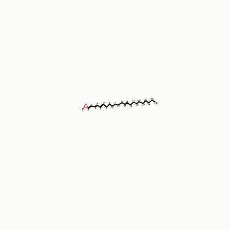 [CH2]OC=CC=CC=CCCCCCCCCCCCCCCCCC